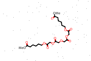 COC(=O)CCCCCOC(=O)COC(=O)COCC(=O)OCC(=O)OCCCCCC(=O)OC